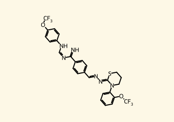 N=C(/N=C\Nc1ccc(OC(F)(F)F)cc1)c1ccc(/C=N/N=C2\SCCCN2c2ccccc2OC(F)(F)F)cc1